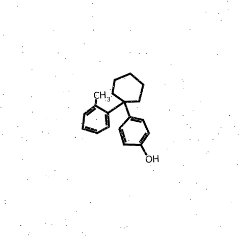 Cc1ccccc1C1(c2ccc(O)cc2)CCCCC1